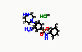 Cc1ccc(C)c(NS(=O)(=O)c2ccc(N3CCCNCC3)c(N)c2)c1.Cl